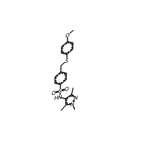 COc1ccc(SCc2ccc(S(=O)(=O)Nc3c(C)nn(C)c3C)cc2)cc1